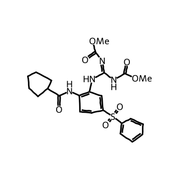 COC(=O)N=C(NC(=O)OC)Nc1cc(S(=O)(=O)c2ccccc2)ccc1NC(=O)C1CCCCC1